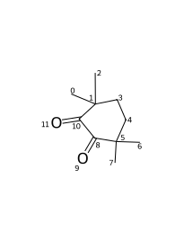 CC1(C)CCC(C)(C)C(=O)C1=O